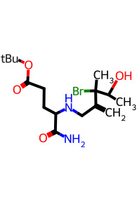 C=C(CNC(CCC(=O)OC(C)(C)C)C(N)=O)C(C)(Br)C(C)O